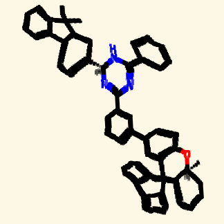 CC1(C)c2ccccc2-c2ccc([C@H]3N=C(c4cccc(-c5ccc6c(c5)C5(C7=CC=CC[C@]7(C)O6)c6ccccc6-c6ccccc65)c4)N=C(c4ccccc4)N3)cc21